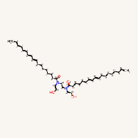 CCCCCCCCC=CCCCCCCCC(=O)N(CCO)CCN(CCO)C(=O)CCCCCCCC=CCCCCCCCC